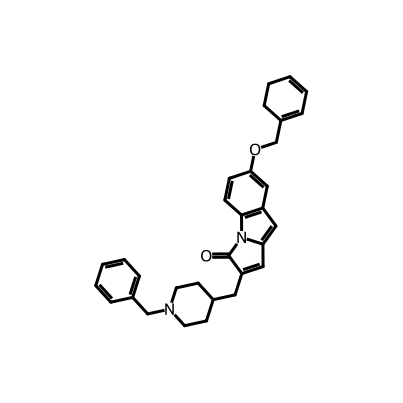 O=C1C(CC2CCN(Cc3ccccc3)CC2)=Cc2cc3cc(OCC4=CC=CCC4)ccc3n21